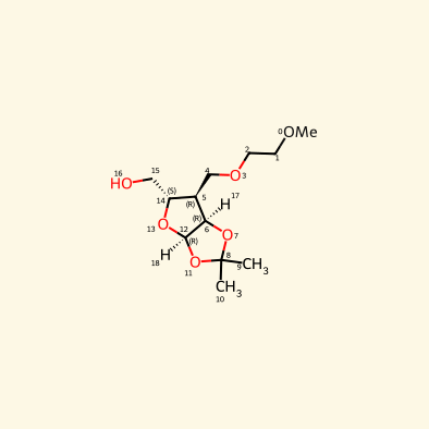 COCCOC[C@H]1[C@H]2OC(C)(C)O[C@H]2O[C@@H]1CO